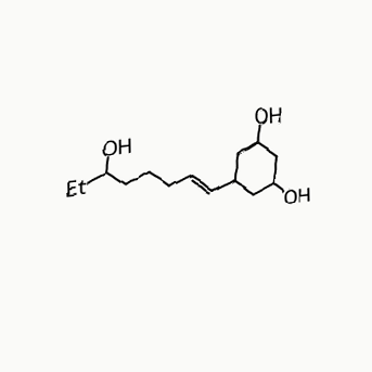 CCC(O)CCC/C=C/C1CC(O)CC(O)C1